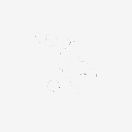 CCCCN(C(=O)CN1C[C@H](c2ccc3c(c2)OCO3)[C@@H](C(=O)O)[C@@H]1CCCN1CCCC1=O)c1ccc[n+](C)c1